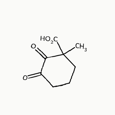 CC1(C(=O)O)CCCC(=O)C1=O